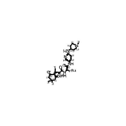 CCCCC(NC(=O)c1[nH]c2c(c1C)C(=O)CC(C)(C)C2)C(=O)Nc1ccc(NC2CCN(C)CC2)nc1